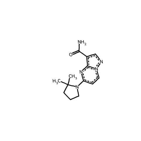 CC1(C)CCCN1c1ccn2ncc(C(N)=O)c2n1